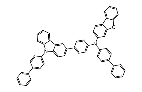 c1ccc(-c2ccc(N(c3ccc(-c4ccc5c(c4)c4ccccc4n5-c4ccc(-c5ccccc5)cc4)cc3)c3ccc4c(c3)oc3ccccc34)cc2)cc1